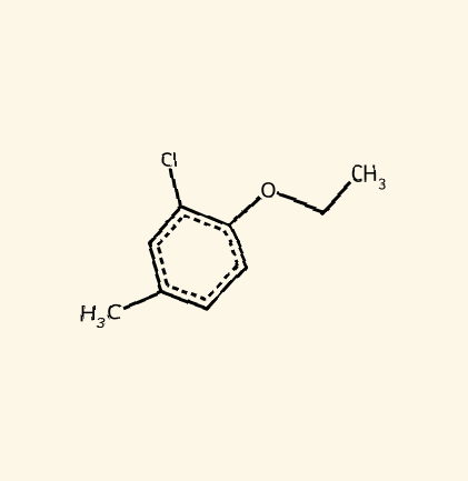 CCOc1ccc(C)cc1Cl